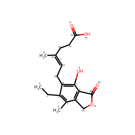 CCc1c(C)c2c(c(O)c1C/C=C(\C)CCC(=O)O)C(=O)OC2